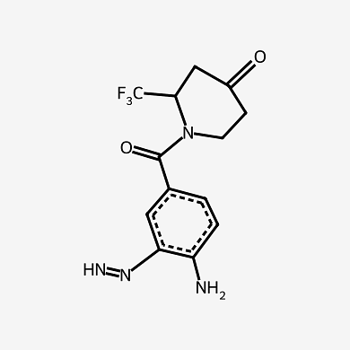 N=Nc1cc(C(=O)N2CCC(=O)CC2C(F)(F)F)ccc1N